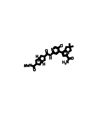 CNC(=O)C1C[C@@H]2CC(C(=O)Nc3cc(-c4cc(C(N)=O)n5c4CC(C)(C)C5)c(Cl)cn3)C[C@@H]2C1